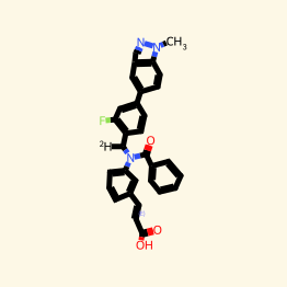 [2H]C(c1ccc(-c2ccc3c(cnn3C)c2)cc1F)N(C(=O)c1ccccc1)c1cccc(/C=C/C(=O)O)c1